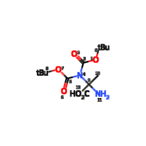 CC(C)(C)OC(=O)N(C(=O)OC(C)(C)C)C(C)(N)C(=O)O